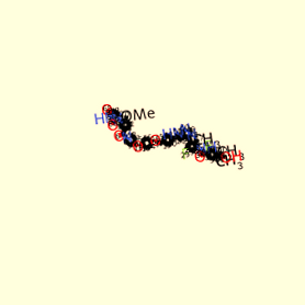 COc1ccc(C(=O)N2CCC(O[C@H]3CC[C@H](OCc4ccc(-c5cc6c(-c7cc(F)cc(NC(=O)c8ccc(C(C)(C)O)cc8F)c7C)ncnc6[nH]5)cc4)CC3)CC2)cc1N1CCC(=O)NC1=O